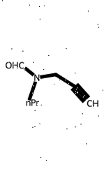 C#CCN(C=O)CCC